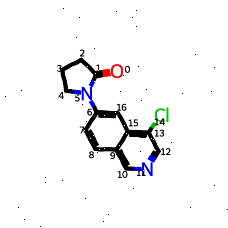 O=C1CCCN1c1ccc2cncc(Cl)c2c1